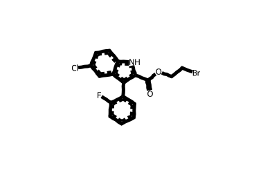 O=C(OCCBr)c1[nH]c2ccc(Cl)cc2c1-c1ccccc1F